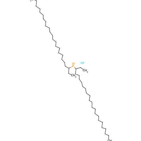 CCCCCCCCCCCCCCCCCCCCCC(CC)PC(CC)CCCCCCCCCCCCCCCCCCCCC.F